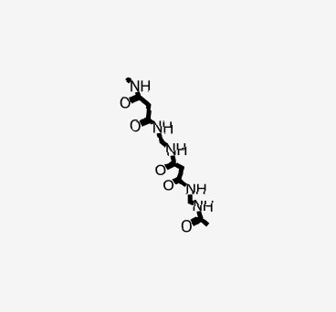 CNC(=O)CC(=O)NCNC(=O)CC(=O)NCNC(C)=O